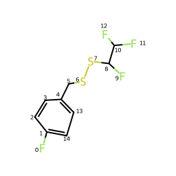 Fc1ccc(CSSC(F)C(F)F)cc1